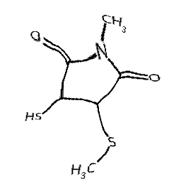 CSC1C(=O)N(C)C(=O)C1S